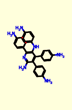 Nc1ccc(Nc2c(-c3ccc(N)cc3)nc(N)c(-c3ccc(N)cc3)c2-c2ccc(N)cc2)cc1